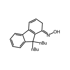 CCCCC1(CCCC)C2=C(C=CCC2=NO)c2ccccc21